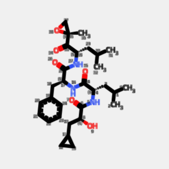 CC(C)C[C@H](NC(=O)[C@@H](O)CC1CC1)C(=O)N[C@@H](Cc1ccccc1)C(=O)N[C@@H](CC(C)C)C(=O)[C@@]1(C)CO1